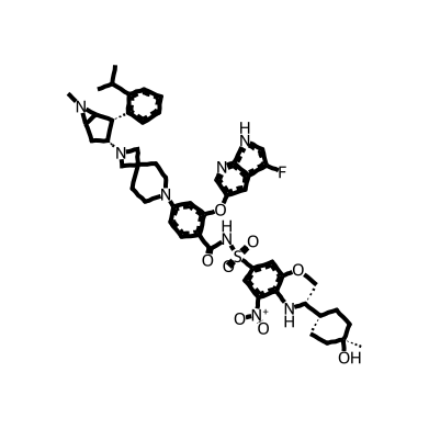 CC(C)c1ccccc1[C@H]1C2C(C[C@H]1N1CC3(CCN(c4ccc(C(=O)NS(=O)(=O)c5cc6c(c([N+](=O)[O-])c5)N[C@@H]([C@H]5CC[C@](C)(O)CC5)CO6)c(Oc5cnc6[nH]cc(F)c6c5)c4)CC3)C1)N2C